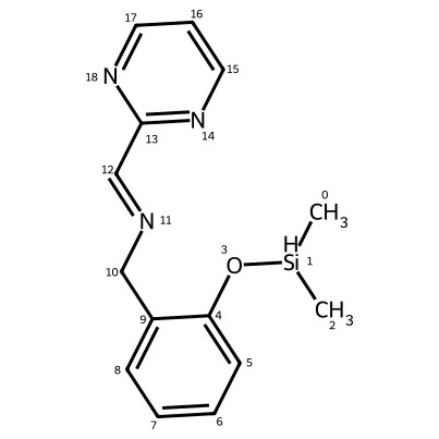 C[SiH](C)Oc1ccccc1CN=Cc1ncccn1